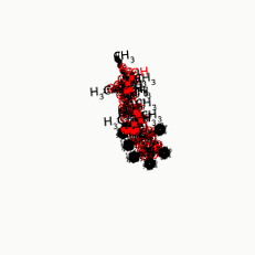 CCCCOCC1O[C@@H](O)C(OC)C(OC)[C@@H]1O[C@@H]1OC(COC)[C@@H](OC2OC(COC)[C@@H](O[C@@H]3OC(COC)[C@@H](O[C@H]4OC(COC(=O)c5ccccc5)[C@@H](O[C@@H]5OC(COC(=O)c6ccccc6)[C@@H](O[C@H]6OC7COC(c8ccccc8)O[C@H]7C(OC(=O)c7ccccc7)C6OC(=O)c6ccccc6)C(OC(=O)c6ccccc6)C5OC(=O)c5ccccc5)C(OC)C4OC)C(OC)C3OC)C(OC)C2OC)C(OC)C1OC